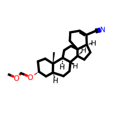 COCO[C@@H]1CC[C@@]2(C)[C@@H](CC[C@H]3[C@@H]4CC[C@@H]5C(C#N)=CCCC54CC[C@@H]32)C1